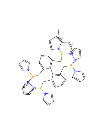 C/C=C\C=C/NP(Cc1cccc(CP(n2cccc2)n2cccc2)c1-c1c(CP(n2cccc2)n2cccc2)cccc1CP(n1cccc1)n1cccc1)n1cccc1